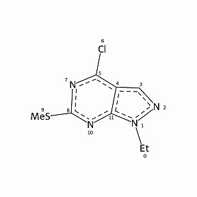 CCn1ncc2c(Cl)nc(SC)nc21